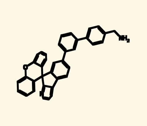 NCc1ccc(-c2cccc(-c3ccc4c(c3)C3(c5ccccc5Oc5ccccc53)c3ncccc3-4)c2)cc1